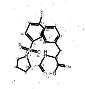 O=C(O)C(Cc1ccccc1)NC(=O)[C@@H]1CCCN1S(=O)(=O)c1ccc(Cl)cc1